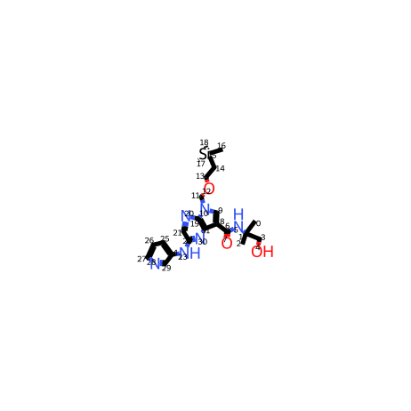 CC(C)(CO)NC(=O)c1cn(COCC[Si](C)(C)C)c2ncc(Nc3cccnc3)nc12